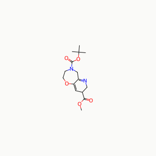 COC(=O)C1C=C2OCCN(C(=O)OC(C)(C)C)CC2=NC1